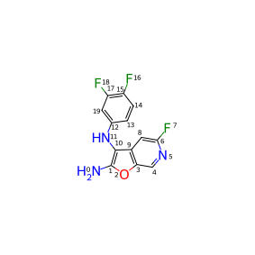 Nc1oc2cnc(F)cc2c1Nc1ccc(F)c(F)c1